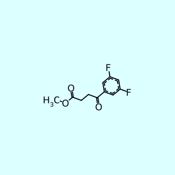 COC(=O)CCC(=O)c1cc(F)cc(F)c1